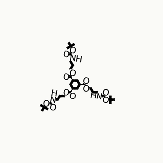 CC(C)(C)OC(=O)NCCCOC(=O)[C@H]1C[C@@H](C(=O)OCCCNC(=O)OC(C)(C)C)C[C@@H](C(=O)OCCCNC(=O)OC(C)(C)C)C1